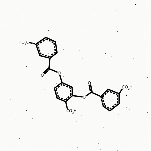 O=C(O)c1cccc(C(=O)Oc2ccc(C(=O)O)c(OC(=O)c3cccc(C(=O)O)c3)c2)c1